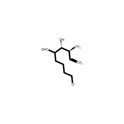 C=C[C@H](C)[C@@H](O)C(C=O)CCCCCl